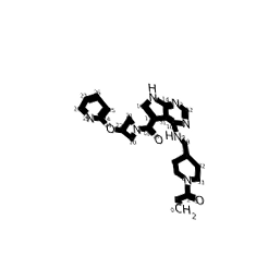 C=CC(=O)N1CCC(CNc2ncnc3[nH]cc(C(=O)N4CC(Oc5ccccn5)C4)c23)CC1